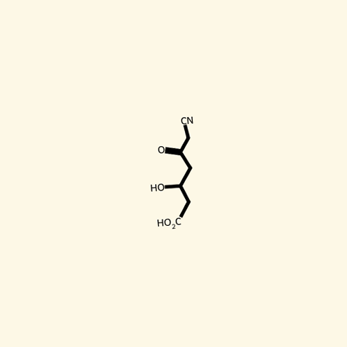 N#CCC(=O)CC(O)CC(=O)O